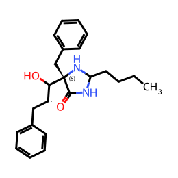 CCCCC1NC(=O)[C@](Cc2ccccc2)(C(O)[CH]Cc2ccccc2)N1